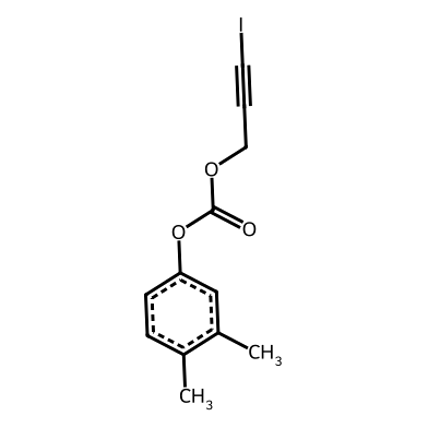 Cc1ccc(OC(=O)OCC#CI)cc1C